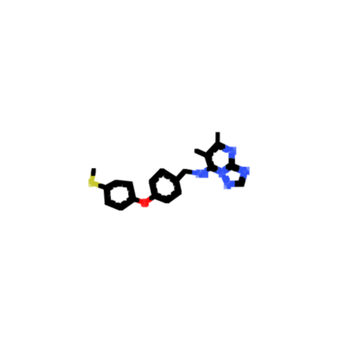 CSc1ccc(Oc2ccc(CNc3c(C)c(C)nc4ncnn34)cc2)cc1